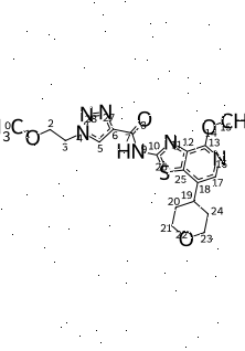 COCCn1cc(C(=O)Nc2nc3c(OC)ncc(C4CCOCC4)c3s2)nn1